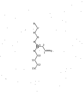 C=CCB(CCCCC)CCCCC